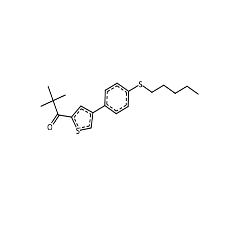 CCCCCSc1ccc(-c2csc(C(=O)C(C)(C)C)c2)cc1